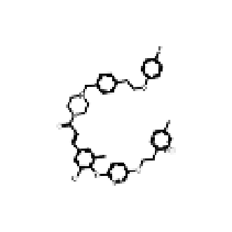 Cc1ccc(CCOc2ccc(Oc3c(C)cc(C=CC(=O)N4CCN(Cc5ccc(CCOc6ccc(F)cc6)cc5)CC4)cc3Cl)nc2)cc1.Cl